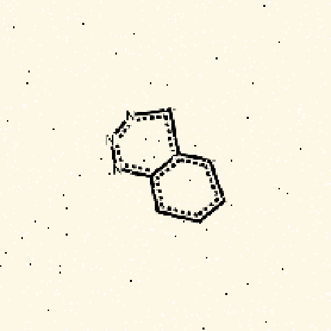 [c]1cccc2nnn[c]c12